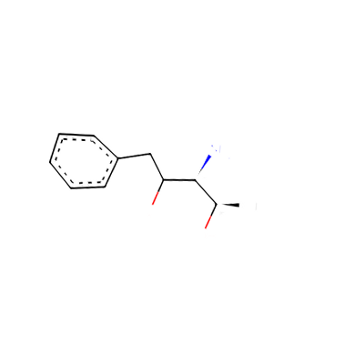 C[C@@H](O)[C@H](N)C(O)Cc1ccccc1